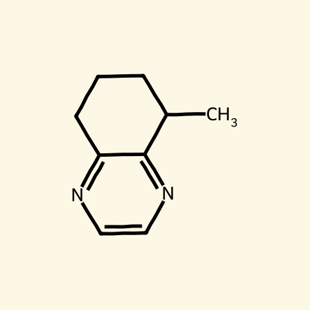 CC1CCCc2nccnc21